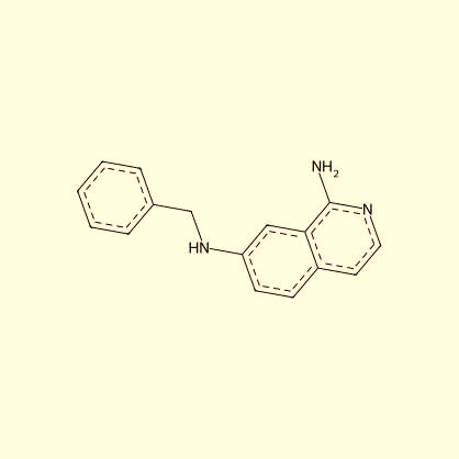 Nc1nccc2ccc(NCc3ccccc3)cc12